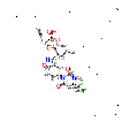 C#CCC(Oc1ccc(C)cc1-c1noc2ccc(-n3c(=O)cc(C(F)(F)F)n(C)c3=O)cc12)C(=O)O